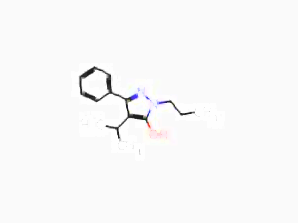 CCCn1nc(-c2ccccc2)c(C(C)C)c1O